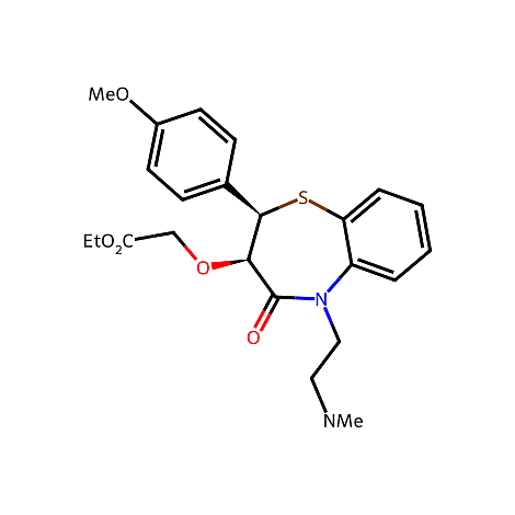 CCOC(=O)CO[C@@H]1C(=O)N(CCNC)c2ccccc2S[C@@H]1c1ccc(OC)cc1